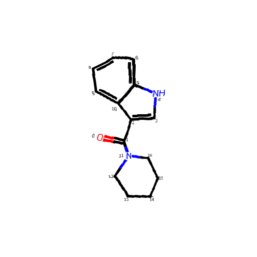 O=C(c1c[nH]c2ccccc12)N1CC[CH]CC1